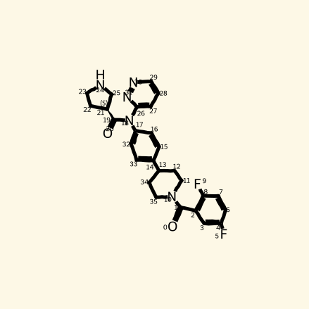 O=C(c1cc(F)ccc1F)N1CCC(c2ccc(N(C(=O)[C@H]3CCNC3)c3cccnn3)cc2)CC1